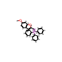 COc1ccc2cc(C[PH](c3ccccc3)(c3ccccc3)c3ccccc3)oc2c1